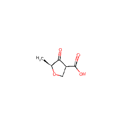 C[C@@H]1OCC(C(=O)O)C1=O